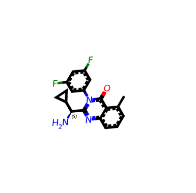 Cc1cccc2nc([C@@H](N)C3CC3)n(-c3cc(F)cc(F)c3)c(=O)c12